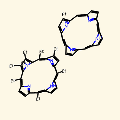 C1=Cc2cc3ccc(cc4nc(cc5ccc(cc1n2)[nH]5)C=C4)[nH]3.CCC1=Cc2nc1c(CC)c1c(CC)c(CC)c(c(CC)c3nc(c(CC)c4ccc([nH]4)c2CC)C=C3)n1CC.[Pt]